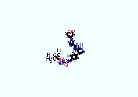 CC(C)(C)c1nnc(C(=O)NCc2ccc(-c3ccnc4[nH]c(-c5cnn(C6CCOCC6)c5)nc34)cc2F)o1